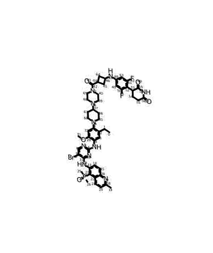 CCc1cc(Nc2ncc(Br)c(Nc3ccc4nc(C)ccc4c3P(C)(C)=O)n2)c(OC)cc1N1CCC(N2CCN(C(=O)C3CC(Nc4cc(F)c(C5CCC(=O)NC5=O)c(F)c4)C3)CC2)CC1